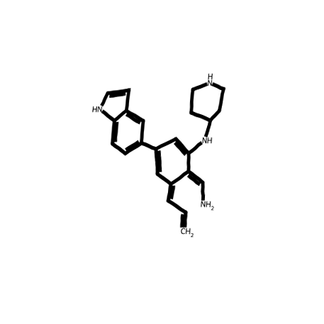 C=C/C=c1/cc(-c2ccc3[nH]ccc3c2)cc(NC2CCNCC2)/c1=C/N